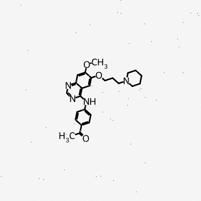 COc1cc2ncnc(Nc3ccc(C(C)=O)cc3)c2cc1OCCCN1CCCCC1